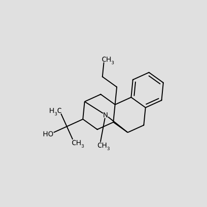 CCCC12CC3C(C(C)(C)O)CC1C(Cc1ccccc12)N3C